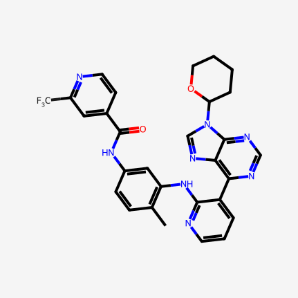 Cc1ccc(NC(=O)c2ccnc(C(F)(F)F)c2)cc1Nc1ncccc1-c1ncnc2c1ncn2C1CCCCO1